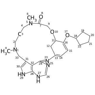 CN1CCCN(C)C(=O)COC2CC(=CC=C2OC2CCCC2)/N=C2\N=CNc3[nH]cc(c32)C1